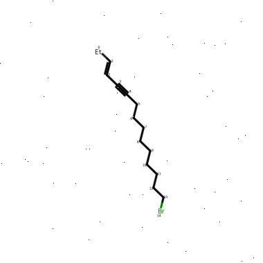 CCC=CC#CCCCCCCCCCBr